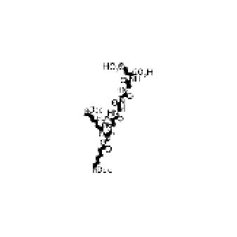 CCCCCCCCCCCCCCCC(=O)OC[C@H](CSC[C@H](N)C(=O)NCC(=O)NCC(=O)NCC(=O)NC(CCC(=O)O)C(=O)O)OC(=O)CCCCCCCCCCCCCCC